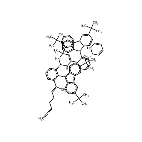 C=C=CCC/C=C(\C)c1cccc([C@@H]2NC(C3CC=CC([C@H]4C=CC=CN4)=C3N3c4ccc(C(C)(C)C)cc4C4C=C(C(C)(C)C)C=CC43)=NC(C)(c3ccccc3)N2)c1-n1c2ccc(C(C)(C)C)cc2c2cc(C(C)(C)C)ccc21